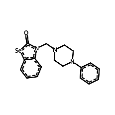 O=c1[se]c2ccccc2n1CN1CCN(c2ccccc2)CC1